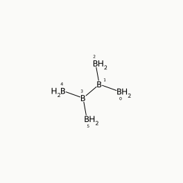 BB(B)B(B)B